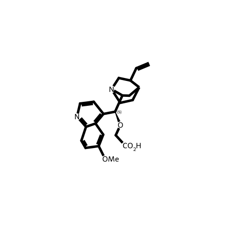 C=CC1CN2CCC1CC2[C@@H](OCC(=O)O)c1ccnc2ccc(OC)cc12